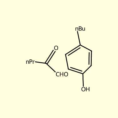 CCCC(=O)C=O.CCCCc1ccc(O)cc1